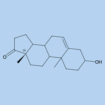 CC12CCC(O)CC1=CCC1C2CC[C@]2(C)C(=O)CCC12